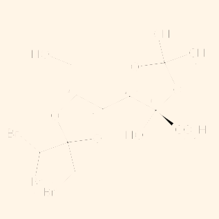 CC1(C)O[C@@H]([C@@H]2OC(CBr)(C(Br)Br)O[C@@H]2CO)[C@](O)(C(=O)O)O1